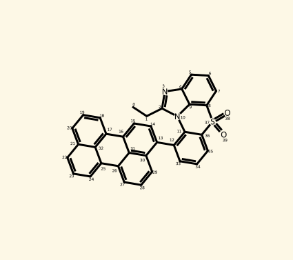 CCc1nc2cccc3c2n1-c1c(-c2ccc4c5cccc6cccc(c7cccc2c74)c65)cccc1S3(=O)=O